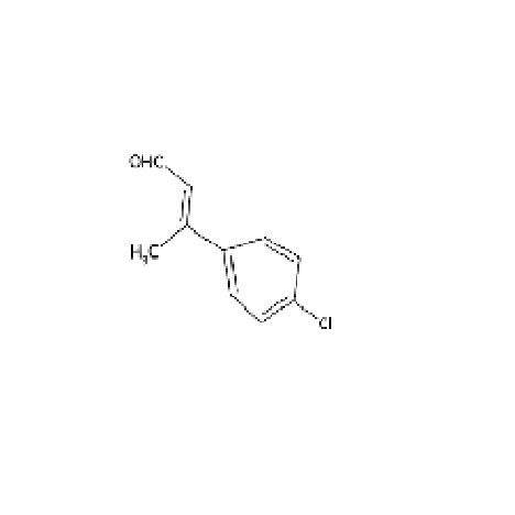 C/C(=C\C=O)c1ccc(Cl)cc1